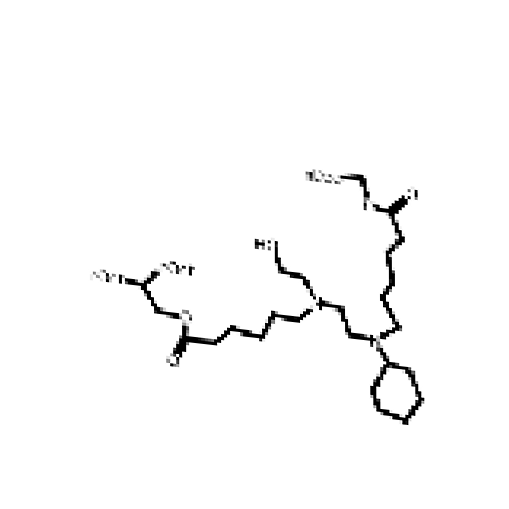 CCCCCCCCCCCOC(=O)CCCCCN(CCN(CCO)CCCCCC(=O)OCC(CCCCCCCC)CCCCCCCC)C1CCCCC1